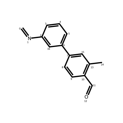 C=Nc1cccc(-c2ccc(C=O)c(C)c2)c1